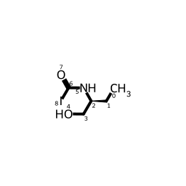 CC[C@@H](CO)NC(=O)I